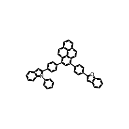 c1ccc(-n2c(-c3ccc(-c4cc(-c5ccc(-c6cc7ccccc7o6)cc5)c5ccc6cccc7ccc4c5c67)cc3)cc3ccccc32)cc1